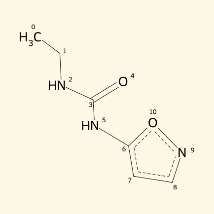 CCNC(=O)Nc1ccno1